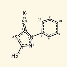 S=c1sc(S)nn1-c1ccccc1.[K]